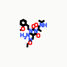 CCO/N=C/c1c(N)n(CCc2ccccc2OC)c(=O)n(C(C)C(=O)NC(C)C)c1=O